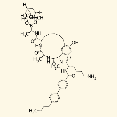 CCCCc1ccc(-c2ccc(C(=O)N[C@@H](CCCCN)C(=O)N(C)[C@@H]3C(=O)N[C@@H](C)C(=O)N[C@H](C(=O)N[C@@H](C)B4O[C@@H]5C[C@@H]6C[C@@H](C6(C)C)[C@]5(C)O4)CCCCCc4cc3ccc4O)cc2)cc1